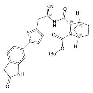 CC(C)(C)OC(=O)N1[C@@H]2CC[C@@H](C2)[C@H]1C(=O)N[C@H](C#N)Cc1ccc(-c2ccc3c(c2)NC(=O)C3)s1